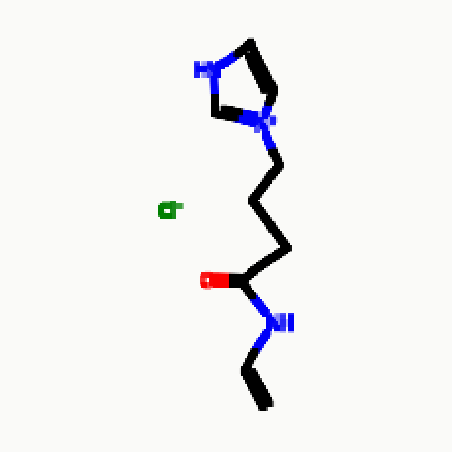 C=CNC(=O)CCC[n+]1cc[nH]c1.[Cl-]